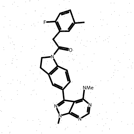 CNc1ncnc2c1c(-c1ccc3c(c1)CCN3C(=O)Cc1cc(C)ccc1F)nn2C